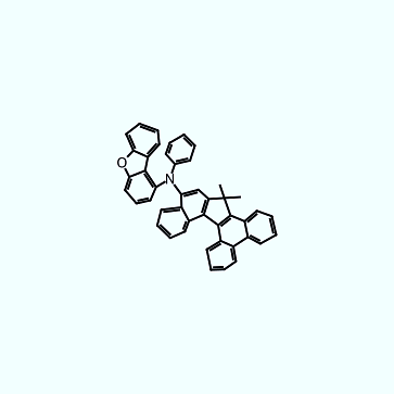 CC1(C)c2cc(N(c3ccccc3)c3cccc4oc5ccccc5c34)c3ccccc3c2-c2c1c1ccccc1c1ccccc21